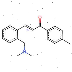 Cc1ccc(C(=O)/C=C/c2ccccc2CN(C)C)c(C)c1